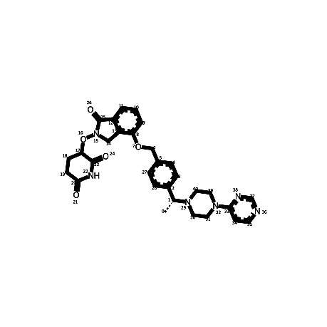 C[C@H](c1ccc(COc2cccc3c2CN(OC2CCC(=O)NC2=O)C3=O)cc1)N1CCN(c2ccncn2)CC1